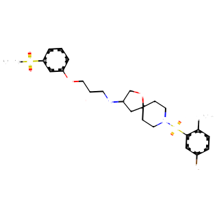 CNS(=O)(=O)c1cccc(OC[C@@H](O)CNC2COC3(CCN(S(=O)(=O)c4cc(Br)ccc4OC)CC3)C2)c1